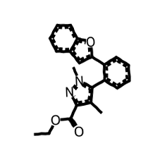 CCOC(=O)c1nn(C)c(-c2ccccc2-c2cc3ccccc3o2)c1C